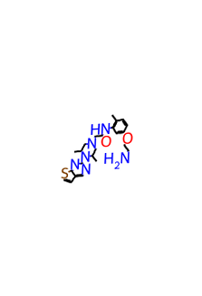 Cc1ccc(OCCN)cc1NC(=O)CN1CC(C)N(c2ncc3ccsc3n2)C(C)C1